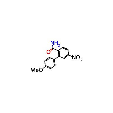 COc1ccc(-c2cc([N+](=O)[O-])ccc2C(N)=O)cc1